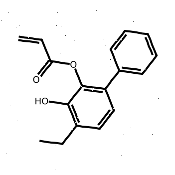 C=CC(=O)Oc1c(-c2ccccc2)ccc(CC)c1O